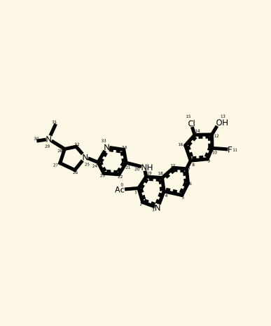 CC(=O)c1cnc2ccc(-c3cc(F)c(O)c(Cl)c3)cc2c1Nc1ccc(N2CCC(N(C)C)C2)nc1